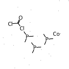 CP(C)C.CP(C)C.CP(C)C.O=C(Cl)Cl.[Co]